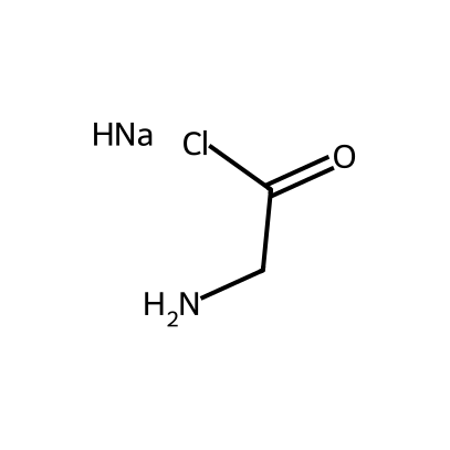 NCC(=O)Cl.[NaH]